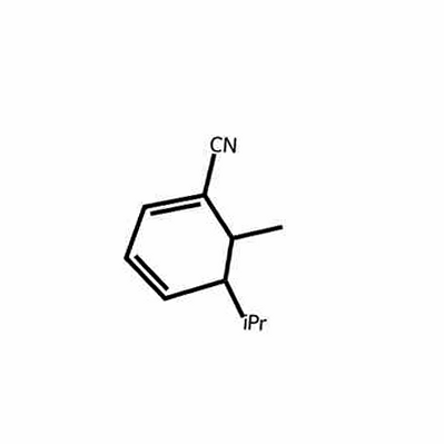 CC(C)C1C=CC=C(C#N)C1C